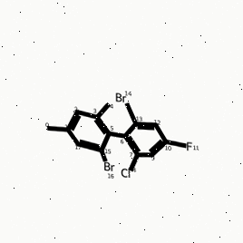 Cc1[c]c(C)c(-c2c(Cl)cc(F)cc2Br)c(Br)c1